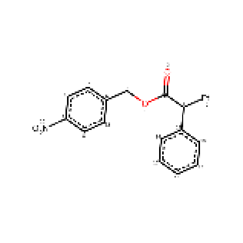 CCC(C(=O)OCc1ccc([N+](=O)[O-])cc1)c1ccccc1